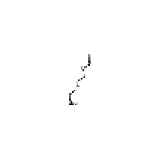 C=COCCOCC(C)(C)C